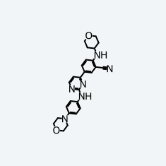 N#Cc1cc(-c2ccnc(Nc3ccc(N4CCOCC4)cc3)n2)ccc1NC1CCOCC1